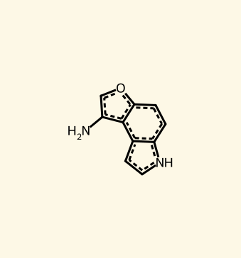 Nc1coc2ccc3[nH]ccc3c12